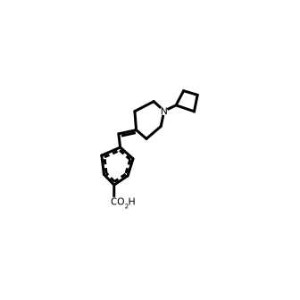 O=C(O)c1ccc(C=C2CCN(C3CCC3)CC2)cc1